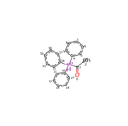 O=[C]([Rh])[PH](c1ccccc1)(c1ccccc1)c1ccccc1